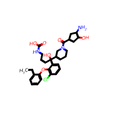 CCc1ccccc1Oc1c(Cl)cccc1C(O)(CCCNC(=O)O)C1CCCN(C(=O)C2CC(N)C(O)C2)C1